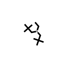 CCN(CC(C)(C)C)CC(C)(C)C